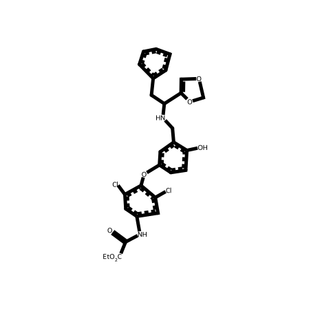 CCOC(=O)C(=O)Nc1cc(Cl)c(Oc2ccc(O)c(CNC(Cc3ccccc3)C3=COCO3)c2)c(Cl)c1